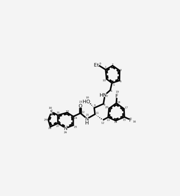 CCc1cccc(CNC[C@@H](O)[C@H](Cc2cc(F)cc(F)c2)NC(=O)c2cnc3ccsc3c2)c1